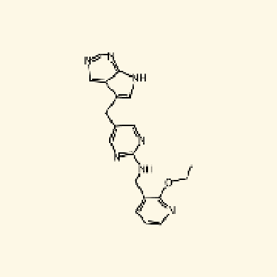 CCOc1ncccc1CNc1ncc(Cc2c[nH]c3ncncc23)cn1